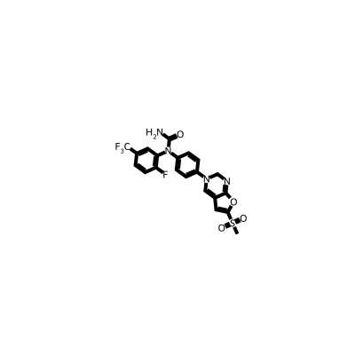 CS(=O)(=O)c1cc2c(o1)=NCN(c1ccc(N(C(N)=O)c3cc(C(F)(F)F)ccc3F)cc1)C=2